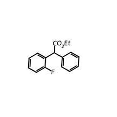 CCOC(=O)C(c1ccccc1)c1ccccc1F